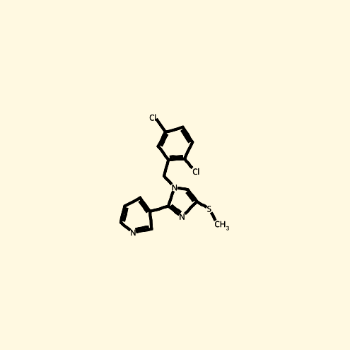 CSc1cn(Cc2cc(Cl)ccc2Cl)c(-c2cccnc2)n1